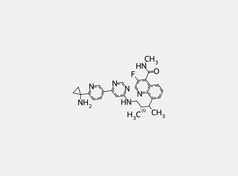 CNC(=O)c1c(F)cnc2c(C(C)[C@H](C)CNc3cc(-c4ccc(C5(N)CC5)nc4)ncn3)cccc12